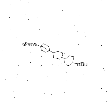 CCCCCC12CCC(C3CCC(C4CCC(CCCC)CC4)CC3)(CC1)CC2